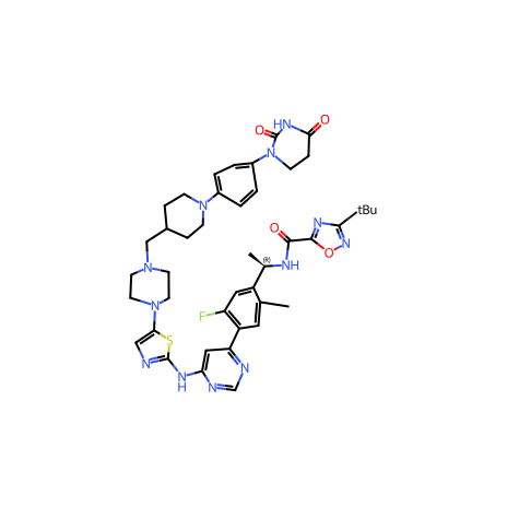 Cc1cc(-c2cc(Nc3ncc(N4CCN(CC5CCN(c6ccc(N7CCC(=O)NC7=O)cc6)CC5)CC4)s3)ncn2)c(F)cc1[C@@H](C)NC(=O)c1nc(C(C)(C)C)no1